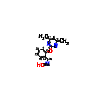 Cc1cc(C)nc(Oc2ccccc2/C=N\O)n1